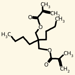 C=C(C)C(=O)OCC(CCCC)(CCCC)COC(=O)C(=C)C